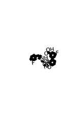 Cc1ccc(CC(C)(C)NCC(O)CN(C)S(=O)(=O)c2cccc(-c3cc(F)cc(C(=O)O)c3)c2)cc1F